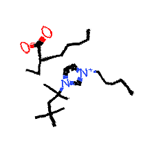 CCCCC(CC)C(=O)[O-].CCCC[n+]1ccn(C(C)(C)CC(C)(C)C)c1